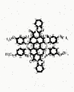 COc1ccc(Oc2cc3c(=O)n4c5ccccc5nc4c4cc(Oc5ccc(OC)cc5N)c5c6c(Oc7ccc(OC)cc7N)cc7c8c(cc(Oc9ccc(OC)cc9N)c(c2c5c34)c68)c(=O)n2c3ccccc3nc72)c(N)c1